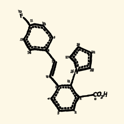 O=C(O)c1cccc(C=Cc2ccc(F)cc2)c1-n1cccc1